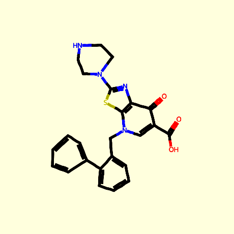 O=C(O)c1cn(Cc2ccccc2-c2ccccc2)c2sc(N3CCNCC3)nc2c1=O